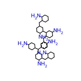 Nc1ccc(C(C2CCC(N)CC2)C2CCC(N)C(CC3CCCCC3N)C2)cc1CC1CCC(N)CC1C1CC(CC2CCCCC2N)CCC1N